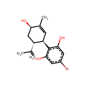 C=C(C)[C@@H]1C[C@@H](O)C(C)=C[C@H]1c1c(O)cc(Br)cc1O